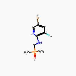 CP(C)(=O)CNc1ncc(Br)cc1F